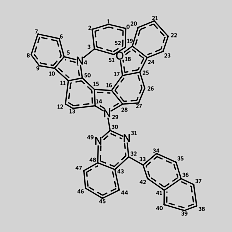 c1ccc(-n2c3ccccc3c3ccc4c(c5c6oc7ccccc7c6ccc5n4-c4nc(-c5ccc6ccccc6c5)c5ccccc5n4)c32)cc1